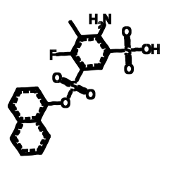 Cc1c(N)c(S(=O)(=O)O)cc(S(=O)(=O)Oc2cccc3ccccc23)c1F